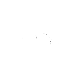 Cc1oc(-c2ccccc2)nc1COc1cccc(CSc2ccc(CC(=O)O)cc2Cl)c1